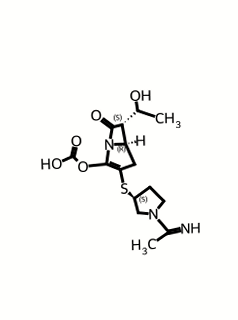 CC(=N)N1CC[C@H](SC2=C(OC(=O)O)N3C(=O)[C@H](C(C)O)[C@H]3C2)C1